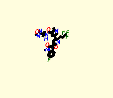 CNC(=O)c1c(-c2ccc(F)cc2)oc2nc(CCC(F)(F)F)c(-c3cnc(C)c(C(=O)NC(C)(C)c4ncon4)c3)cc12